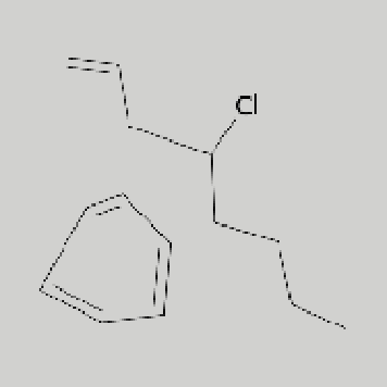 C=CCC(Cl)CCCC.c1ccccc1